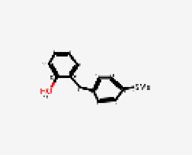 CSc1ccc(Cc2ccccc2O)cc1